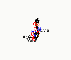 COCC1=C(C(=O)OCOC(C)=O)N2C(=O)C(NC(=O)/C(=N\OC)C(=O)COS(=O)(=O)c3ccc(C)cc3)[C@H]2SC1